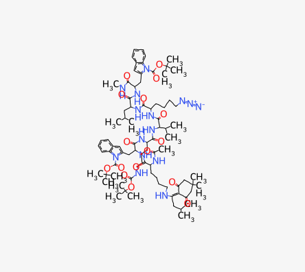 CNC(=O)C(Cc1cc2ccccc2n1C(=O)OC(C)(C)C)NC(=O)C(CC(C)C)NC(=O)C(CCCCN=[N+]=[N-])NC(=O)C(NC(=O)C(CCCCNC(=O)OC(C)(C)C)NC(=O)C(Cc1cc2ccccc2n1C(=O)OC(C)(C)C)NC(=O)C(CCCCNC(CC(C)C)=C1C(=O)CC(C)(C)CC1=O)NC(C)=O)C(C)C